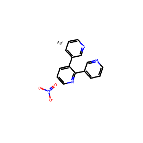 O=[N+]([O-])[O-].[Ag+].c1cncc(-c2cccnc2-c2cccnc2)c1